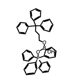 OB(OCCCC(c1ccccc1)(c1ccccc1)c1ccccc1)OP(c1ccccc1)(c1ccccc1)(c1ccccc1)c1ccccc1